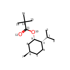 CC(C)[C@@H]1CC[C@@H](C)C[C@@H]1OC(=O)C(C)(C)C